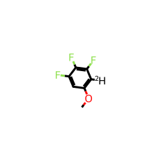 [2H]c1c(OC)cc(F)c(F)c1F